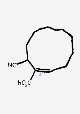 N#CC1CCCCCCC/C=C\1C(=O)O